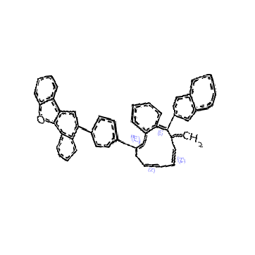 C=C1/C=C\C=C/C/C(c2ccc(-c3cc4c5ccccc5oc4c4ccccc34)cc2)=c2/cccc/c2=C/1c1ccc2ccccc2c1